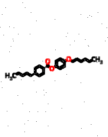 CCCCCCOc1ccc(OC(=O)[C@H]2CC[C@H](CCCCC)CC2)cc1